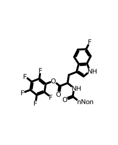 CCCCCCCCCC(=O)NC(Cc1c[nH]c2cc(F)ccc12)C(=O)Oc1c(F)c(F)c(F)c(F)c1F